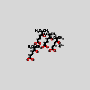 CC(C)C(=O)CCCC(=O)[O-].CC(C)C(=O)CCCC(=O)[O-].CC(C)C(=O)CCCC(=O)[O-].CC(C)C(=O)CCCC(=O)[O-].[Ti+4]